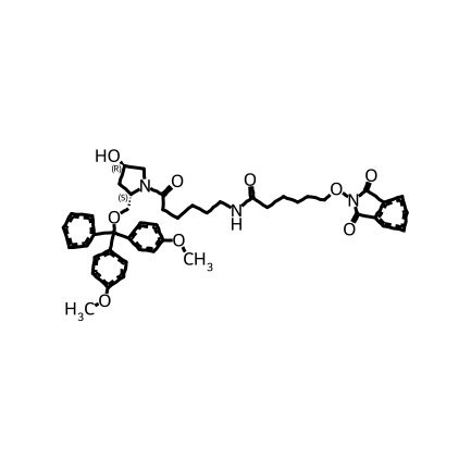 COc1ccc(C(OC[C@@H]2C[C@@H](O)CN2C(=O)CCCCCNC(=O)CCCCCON2C(=O)c3ccccc3C2=O)(c2ccccc2)c2ccc(OC)cc2)cc1